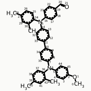 COc1ccc(N(c2ccc(-c3ccc(N(c4ccc(C=O)cc4)c4ccc(C)cc4C)cc3)cc2)c2ccc(C)cc2C)cc1